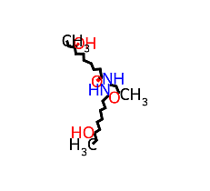 CCCC(NC(=O)CCCCCCC(O)CC)NC(=O)CCCCCCC(O)CC